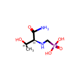 C[C@@H](O)[C@H](NCP(=O)(O)O)C(N)=O